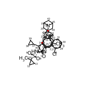 Cc1cc(C(=O)NS(=O)(=O)C2(C)CC2)cc2sc(N3C4CC(NCc5c(-c6c(Cl)cccc6Cl)noc5C5CC5)CC3C4)nc12